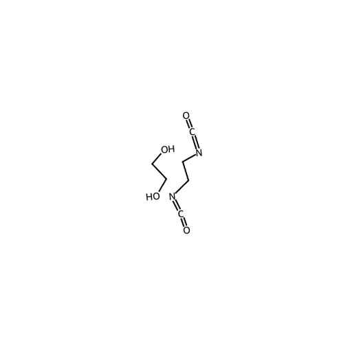 O=C=NCCN=C=O.OCCO